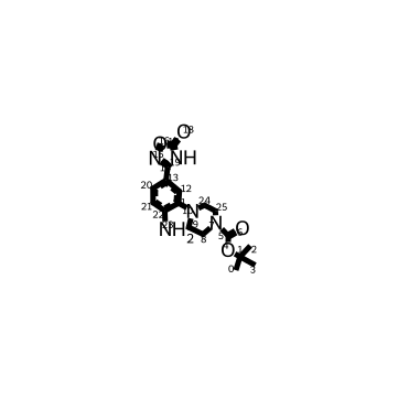 CC(C)(C)OC(=O)N1CCN(c2cc(-c3noc(=O)[nH]3)ccc2N)CC1